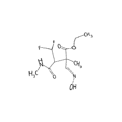 CCOC(=O)C(C)(C=NO)C(C(=O)NC)C(F)F